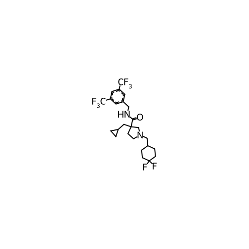 O=C(NCc1cc(C(F)(F)F)cc(C(F)(F)F)c1)C1(CC2CC2)CCN(CC2CCC(F)(F)CC2)C1